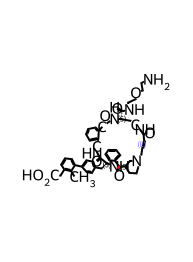 Cc1c(CC(=O)O)cccc1-c1ccc(C[C@@H]2NC(=O)[C@]3(Cc4ccccc4)CCCN(C/C=C/C(=O)NCC[C@@H](C(=O)NCCOCCN)NC(=O)Cc4ccccc4CNC2=O)C3)cc1